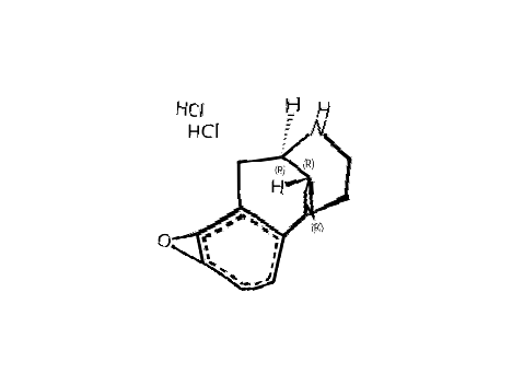 Cl.Cl.c1cc2c(c3c1O3)C[C@H]1NCC[C@@]23CCCC[C@@H]13